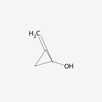 C=C1CC1O